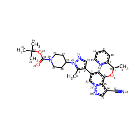 Cc1c(-c2cc(O[C@H](C)c3ccccn3)c3c(C#N)cnn3c2)cnn1C1CCN(C(=O)OC(C)(C)C)CC1